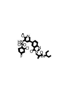 CCC(CC)NC(=O)C(C)Cn1cnc2ccc(-c3cnc(OC)c(NS(=O)(=O)c4ccc(F)cc4Cl)c3)cc2c1=O